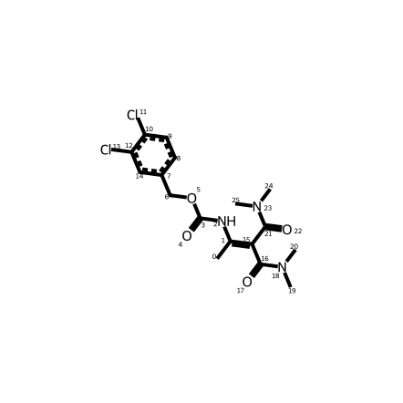 CC(NC(=O)OCc1ccc(Cl)c(Cl)c1)=C(C(=O)N(C)C)C(=O)N(C)C